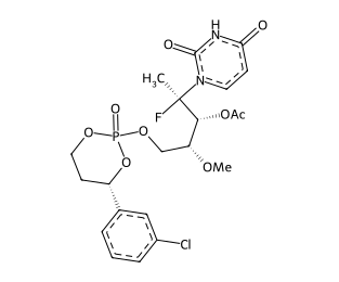 CO[C@H](COP1(=O)OCC[C@@H](c2cccc(Cl)c2)O1)[C@@H](OC(C)=O)[C@@](C)(F)n1ccc(=O)[nH]c1=O